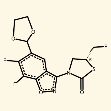 O=C1S[C@@H](CF)CN1c1noc2c(F)c(F)c(C3OCCO3)cc12